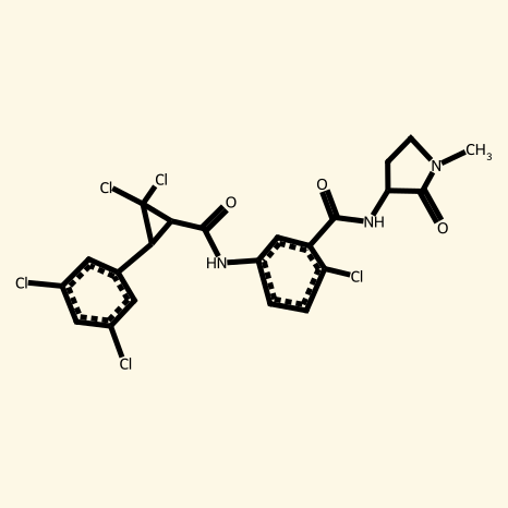 CN1CCC(NC(=O)c2cc(NC(=O)C3C(c4cc(Cl)cc(Cl)c4)C3(Cl)Cl)ccc2Cl)C1=O